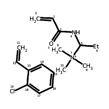 C=CC(=O)NC(CC)[N+](C)(C)C.C=Cc1ccccc1Cl